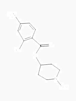 CCCCN1CCC(OC(=O)c2ccc(N)cc2Cl)CC1